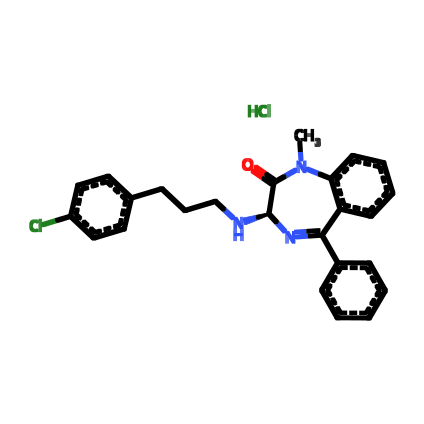 CN1C(=O)[C@H](NCCCc2ccc(Cl)cc2)N=C(c2ccccc2)c2ccccc21.Cl